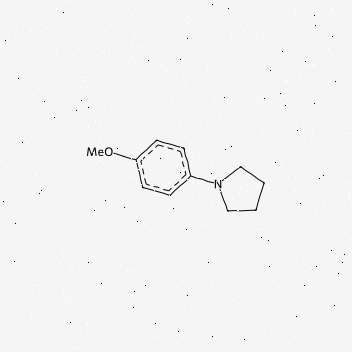 COc1ccc(N2CCCC2)cc1